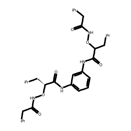 CC(C)CC(=O)NOC(CC(C)C)C(=O)Nc1cccc(NC(=O)[C@@H](CC(C)C)ONC(=O)CC(C)C)c1